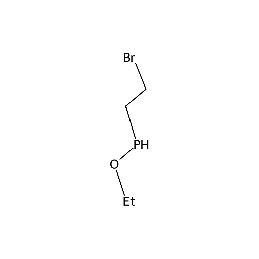 CCOPCCBr